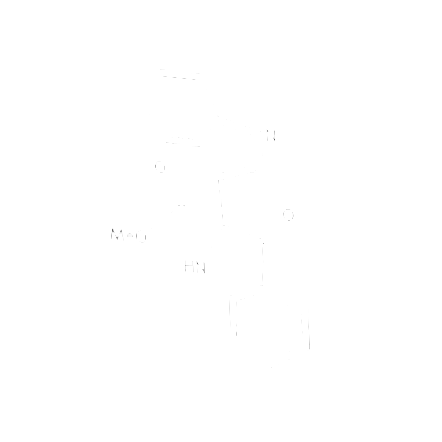 COC(=O)C1(c2cn(C)c3ccccc23)Nc2ccccc2C1=O